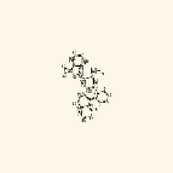 Nc1nc(-c2ccccc2)c(-c2ccc3ncccc3c2)nc1NCC1(c2cnccn2)CC1